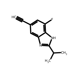 C#Cc1cc(F)c2[nH]c(C(C)C)nc2c1